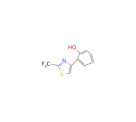 Oc1ccccc1-c1csc(C(F)(F)F)n1